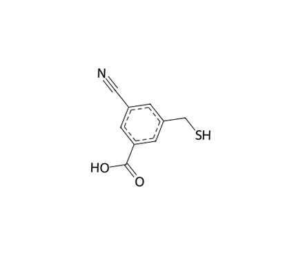 N#Cc1cc(CS)cc(C(=O)O)c1